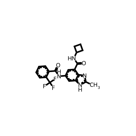 Cc1nc2c(C(=O)NC3CCC3)cc(NC(=O)c3ccccc3C(F)(F)F)cc2[nH]1